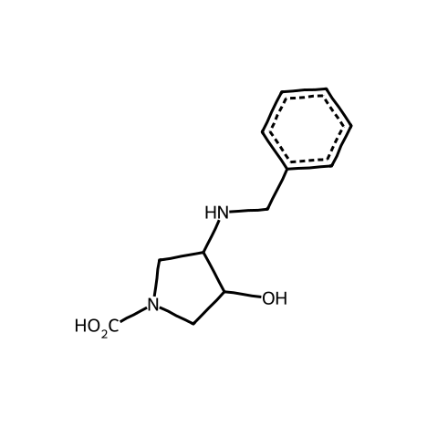 O=C(O)N1CC(O)C(NCc2ccccc2)C1